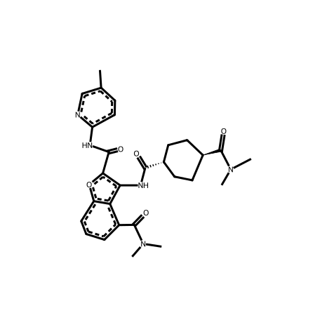 Cc1ccc(NC(=O)c2oc3cccc(C(=O)N(C)C)c3c2NC(=O)[C@H]2CC[C@H](C(=O)N(C)C)CC2)nc1